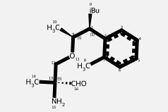 CCC(C)[C@@H](c1ccccc1C)[C@H](C)OC[C@](C)(N)C=O